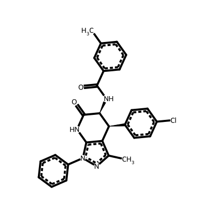 Cc1cccc(C(=O)N[C@@H]2C(=O)Nc3c(c(C)nn3-c3ccccc3)[C@@H]2c2ccc(Cl)cc2)c1